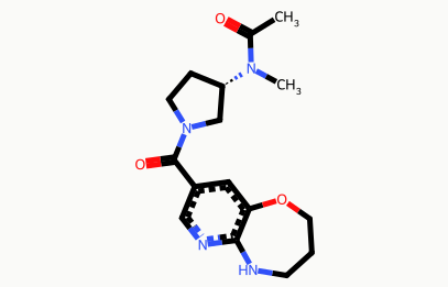 CC(=O)N(C)[C@H]1CCN(C(=O)c2cnc3c(c2)OCCCN3)C1